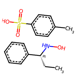 CC[C@@H](NO)c1ccccc1.Cc1ccc(S(=O)(=O)O)cc1